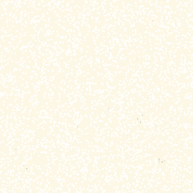 NC1C(=O)N2CC(C=CSc3ccncc3)(C(=O)OC(c3ccccc3)c3ccccc3)CS[C@H]12